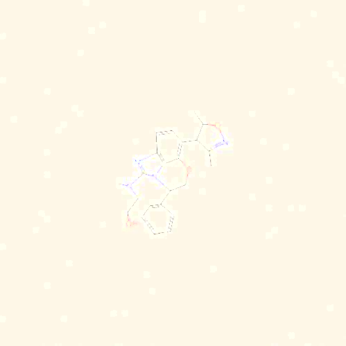 CC1=NOC(C)C1c1ccc2nc(N(C)CCO)n3c2c1OCC3c1ccccc1